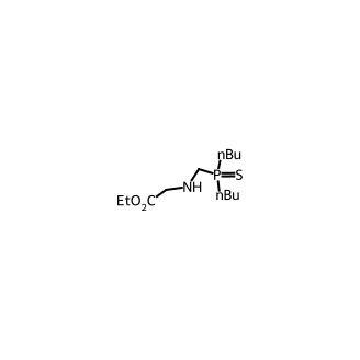 CCCCP(=S)(CCCC)CNCC(=O)OCC